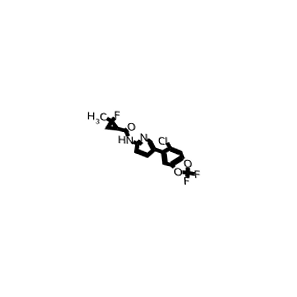 CC1(F)CC1C(=O)Nc1ccc(-c2cc3c(cc2Cl)OC(F)(F)O3)cn1